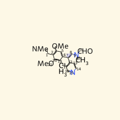 CNCc1c(OC)cc(/C(=C/N(C)C=O)c2ccncc2C)cc1OC